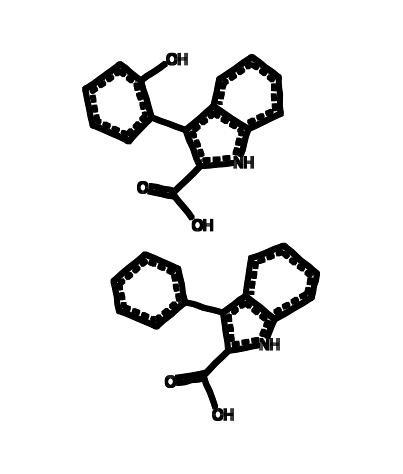 O=C(O)c1[nH]c2ccccc2c1-c1ccccc1.O=C(O)c1[nH]c2ccccc2c1-c1ccccc1O